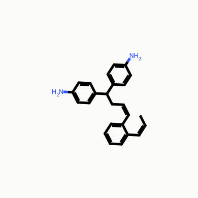 C/C=C\c1ccccc1/C=C\CC(c1ccc(N)cc1)c1ccc(N)cc1